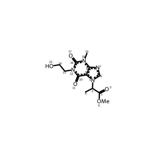 COC(=O)C(C)n1cnc2c1c(=O)n(CCO)c(=O)n2C